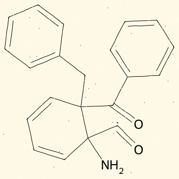 NC1([C]=O)C=CC=CC1(Cc1ccccc1)C(=O)c1ccccc1